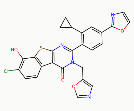 O=c1c2c(nc(-c3ccc(-c4ncco4)cc3C3CC3)n1Cc1cnco1)sc1c(O)c(Cl)ccc12